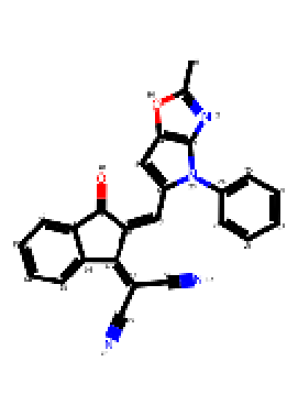 Cc1nc2c(cc(/C=C3\C(=O)c4ccccc4C3=C(C#N)C#N)n2-c2ccccc2)o1